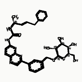 C[C@H](CCCc1ccccc1)NC(=O)Nc1ccc2ncc(-c3cccc(CO[C@@H]4O[C@H](CO)[C@@H](O)[C@H](O)[C@H]4O)c3)nc2n1